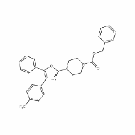 O=C(OCc1ccccc1)N1CCC(c2nc(-c3ccc(C(F)(F)F)cc3)c(-c3ccccc3)o2)CC1